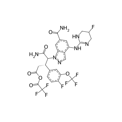 NC(=O)c1cc(NC2=NCC(F)CN2)c2cnn(C(C(N)=O)[C@@H](CC(=O)OC(=O)C(F)(F)F)c3ccc(F)c(OC(F)(F)F)c3)c2c1